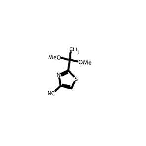 COC(C)(OC)c1nc(C#N)cs1